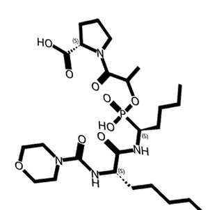 CCCC[C@@H](NC(=O)[C@H](CCCCN)NC(=O)N1CCOCC1)P(=O)(O)OC(C)C(=O)N1CCC[C@H]1C(=O)O